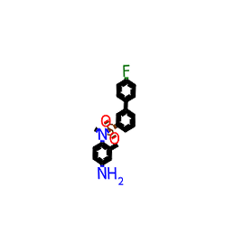 Cc1cc(N)ccc1N(C)S(=O)(=O)c1cccc(-c2ccc(F)cc2)c1